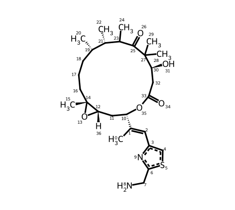 C/C(=C\c1csc(CN)n1)[C@@H]1C[C@@H]2O[C@]2(C)CCC[C@H](C)[C@H](C)C(C)C(=O)C(C)(C)[C@@H](O)CC(=O)O1